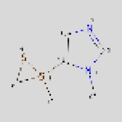 Cn1cncc1S1(C)CS1